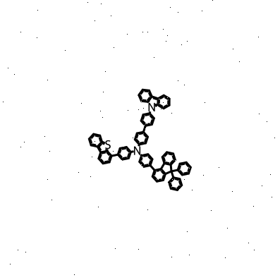 c1ccc(C2(c3ccccc3)c3ccccc3-c3c(-c4ccc(N(c5ccc(-c6ccc(-n7c8ccccc8c8ccccc87)cc6)cc5)c5ccc(-c6cccc7c6sc6ccccc67)cc5)cc4)cccc32)cc1